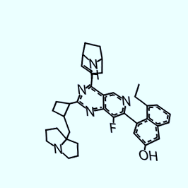 CCc1cccc2cc(O)cc(-c3ncc4c(C5=CC6CCC(C5)N6)nc(C5CCC5CC56CCCN5CCC6)nc4c3F)c12